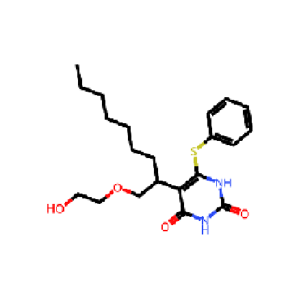 CCCCCCCC(COCCO)c1c(Sc2ccccc2)[nH]c(=O)[nH]c1=O